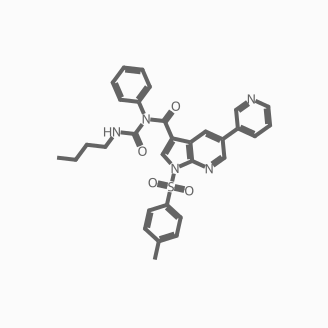 CCCCNC(=O)N(C(=O)c1cn(S(=O)(=O)c2ccc(C)cc2)c2ncc(-c3cccnc3)cc12)c1ccccc1